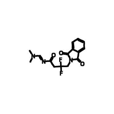 CN(C)/C=N/C(=O)CC(F)(F)CN1C(=O)c2ccccc2C1=O